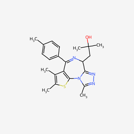 Cc1ccc(C2=NC(CC(C)(C)O)c3nnc(C)n3-c3sc(C)c(C)c32)cc1